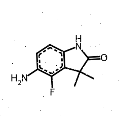 CC1(C)C(=O)Nc2ccc(N)c(F)c21